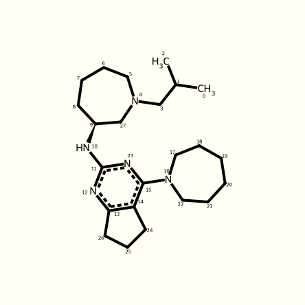 CC(C)CN1CCCC[C@H](Nc2nc3c(c(N4CCCCCC4)n2)CCC3)C1